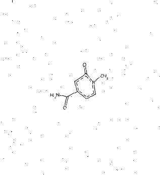 Cn1ccc(C(N)=O)cc1=O